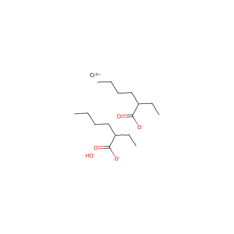 CCCCC(CC)C(=O)[O-].CCCCC(CC)C(=O)[O-].[Cr+3].[OH-]